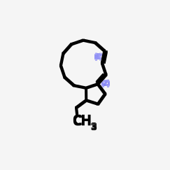 CCC1CC/C2=C/C=C/CCCCCCCC21